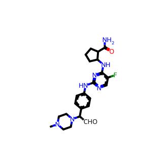 CN1CCN(C(C=O)c2ccc(Nc3ncc(F)c(NC4CCCC4C(N)=O)n3)cc2)CC1